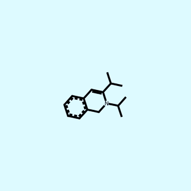 CC(C)C1=Cc2ccccc2CN1C(C)C